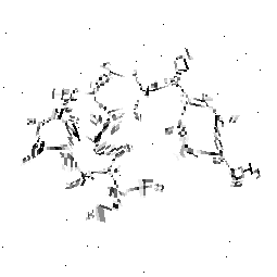 CC1=CCN(C(=O)c2cnc(C)nc2)C[C@H]1c1cc(C(F)F)nc2ncnn12